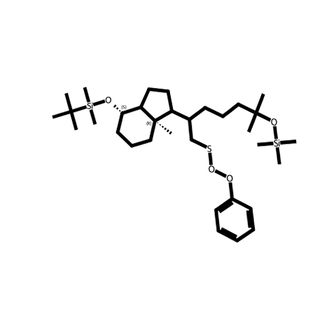 CC(C)(CCCC(CSOOc1ccccc1)C1CCC2[C@@H](O[Si](C)(C)C(C)(C)C)CCC[C@]12C)O[Si](C)(C)C